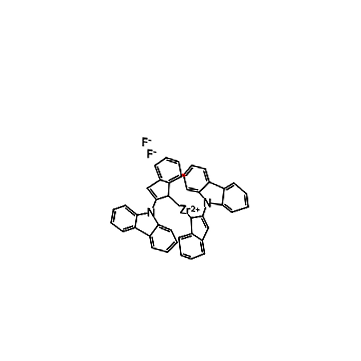 C1=C(n2c3ccccc3c3ccccc32)[CH]([Zr+2][CH]2C(n3c4ccccc4c4ccccc43)=Cc3ccccc32)c2ccccc21.[F-].[F-]